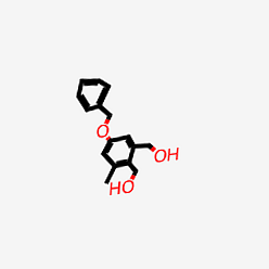 Cc1cc(OCc2ccccc2)cc(CO)c1CO